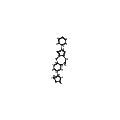 c1ccc(-c2cc3n(n2)Cc2ccc(-c4cnc[nH]4)cc2OC3)cc1